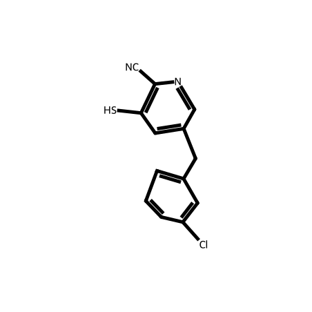 N#Cc1ncc(Cc2cccc(Cl)c2)cc1S